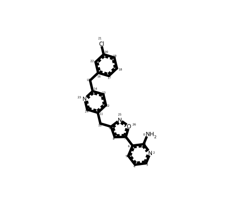 Nc1ncccc1-c1cc(Cc2ccc(Cc3cccc(Cl)c3)nc2)no1